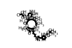 CC[C@H]1OC(=O)[C@H](C)C(=O)[C@H](C)[C@@H](O[C@@H]2O[C@H](CNC(=O)C(Cl)Cl)CC(N)C2O)[C@](C)(OC)C[C@@H](C)CN[C@H](C)[C@H]2N(CCCCn3cc(-c4cccc(NC(=O)OC(C)(C)C)c4)nn3)C(=O)O[C@]12C